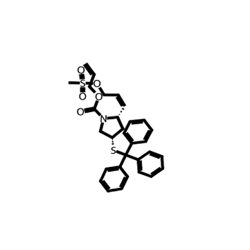 C=CCOC(=O)N1C[C@@H](SC(c2ccccc2)(c2ccccc2)c2ccccc2)C[C@H]1/C=C\COS(C)(=O)=O